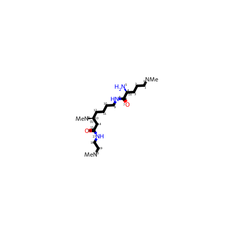 CNCCC[C@H](N)C(=O)NCCCC[C@@H](CC(=O)NCCNC)NC